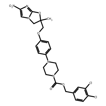 CC1(COc2ccc(N3CCN(C(=O)OCc4ccc(Cl)c(Cl)c4)CC3)cc2)Cn2cc([N+](=O)[O-])nc2O1